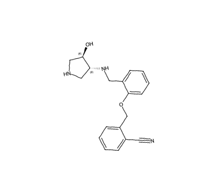 N#Cc1ccccc1COc1ccccc1CN[C@@H]1CNC[C@H]1O